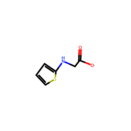 [O]C(=O)CNc1cccs1